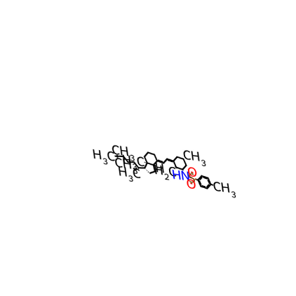 C=C1/C(=C\C=C2/CCC[C@]3(C)[C@@H]([C@H](C)CCCC(C)(C)C)CC[C@@H]23)C[C@@H](C)C[C@@H]1NS(=O)(=O)c1ccc(C)cc1